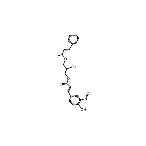 CC(/C=C/c1ccccc1)OCC(O)COC(=O)/C=C/c1ccc(O)c(N=O)c1